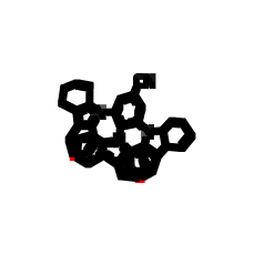 N#Cc1cc(N2c3ccccc3C3C=CC=CC32)c(-n2c3ccccc3c3ccccc32)c(-n2c3c(c4c2C=CCC4)CCC=C3)c1